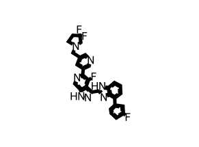 Fc1cccc(-c2cccc3[nH]c(-c4n[nH]c5cnc(-c6cncc(CN7CCC(F)(F)C7)c6)c(F)c45)nc23)c1